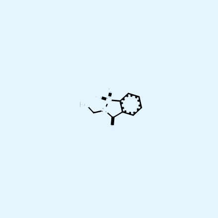 CC(C)(C)CN1C(=O)c2ccccc2S1(=O)=O